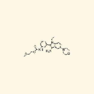 CCn1c(-c2cccc(NC(=O)OCCOC)c2)c(N)c2cc(N3CCOCC3)ccc21